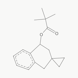 CC(C)(C)C(=O)OC1CC2(CC2)Cc2ccccc21